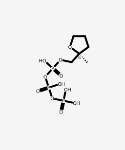 C[C@@]1(COP(=O)(O)OP(=O)(O)OP(=O)(O)O)CCCO1